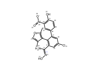 Cc1noc(C)c1-c1c(/C(N)=N/O)cc(Cl)cc1-c1ccc(O)c([N+](=O)[O-])c1